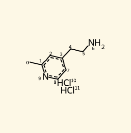 Cc1cc(CCN)ccn1.Cl.Cl